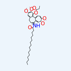 CCCCCCCCCCCCCCCC(=O)N[C@H]1CCc2cc(OC)c(OC)c(OC(=O)CC)c2-c2ccc(OC)c(=O)cc21